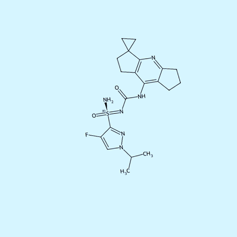 CC(C)n1cc(F)c([S@](N)(=O)=NC(=O)Nc2c3c(nc4c2CCC42CC2)CCC3)n1